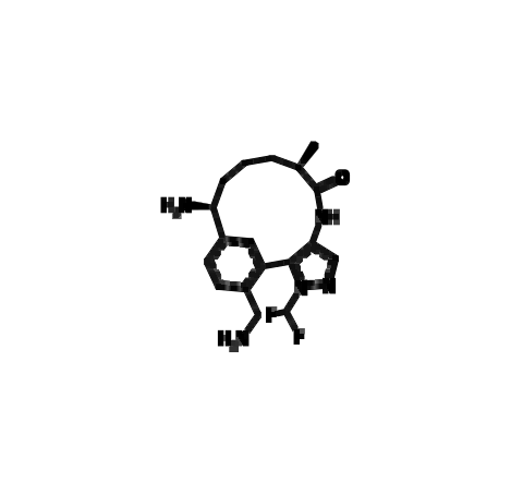 C[C@@H]1CCC[C@H](N)c2ccc(CN)c(c2)-c2c(cnn2C(F)F)NC1=O